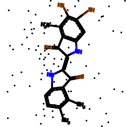 Bc1ccc2c(c1B)C(=S)/C(=C1\Nc3cc(S)c(S)c(B)c3C1=S)N2